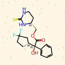 O=C(OC[C@H]1CCNC(=S)N1)[C@](O)(c1ccccc1)[C@@H]1CCC(F)(F)C1